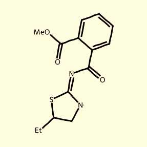 CCC1C[N]C(=NC(=O)c2ccccc2C(=O)OC)S1